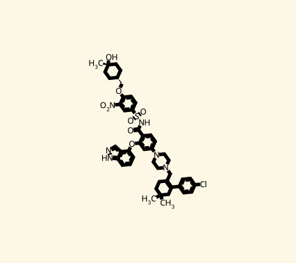 CC1(C)CCC(CN2CCN(c3ccc(C(=O)NS(=O)(=O)c4ccc(OC[C@H]5CC[C@@](C)(O)CC5)c([N+](=O)[O-])c4)c(Oc4cccc5[nH]ncc45)c3)CC2)=C(c2ccc(Cl)cc2)C1